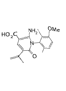 C=C(C)c1cc(C(=O)O)c(N)n(-c2c(C)ccc(OC)c2C)c1=O